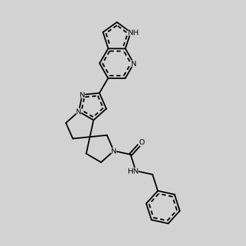 O=C(NCc1ccccc1)N1CCC2(CCn3nc(-c4cnc5[nH]ccc5c4)cc32)C1